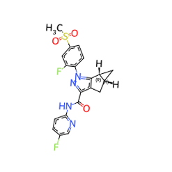 CS(=O)(=O)c1ccc(-n2nc(C(=O)Nc3ccc(F)cn3)c3c2[C@@H]2C[C@@H]2C3)c(F)c1